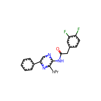 CCCc1nc(-c2ccccc2)cnc1NC(=O)Cc1ccc(F)c(F)c1